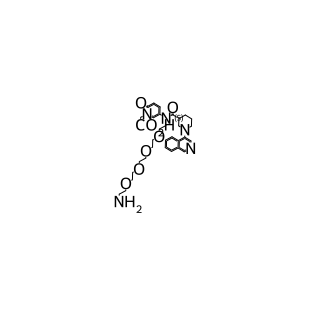 NCCOCCOCCOCCOCCN(C(=O)[C@H]1CCCN(c2cncc3ccccc23)C1)c1ccc(=O)n(CC(=O)O)c1